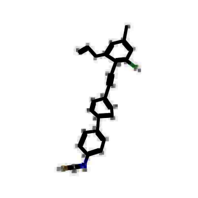 C=CCc1cc(C)cc(F)c1C#Cc1ccc(-c2ccc(N=C=S)cc2)cc1